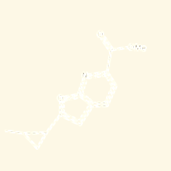 COC(=O)c1ccc2cc(C3CC3C)oc2n1